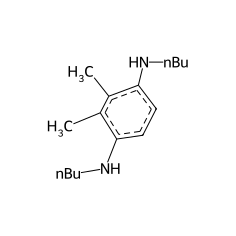 CCCCNc1ccc(NCCCC)c(C)c1C